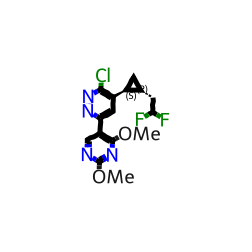 COc1ncc(-c2cc([C@H]3C[C@@H]3CC(F)F)c(Cl)nn2)c(OC)n1